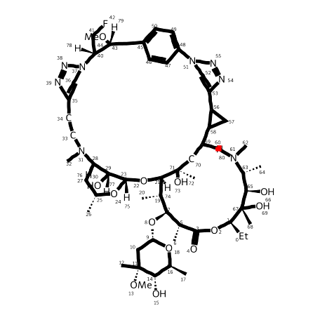 CC[C@H]1OC(=O)[C@H](C)[C@@H](O[C@H]2C[C@@](C)(OC)[C@@H](O)[C@H](C)O2)[C@H](C)[C@H]2O[C@@H]3O[C@H](C)C[C@@H]([C@H]3O)N(C)CCc3cn(nn3)[C@H](CF)[C@H](OC)c3ccc(cc3)-n3cc(nn3)C3CC3[C@@H](CN(C)[C@H](C)[C@@H](O)[C@]1(C)O)C[C@@]2(C)O